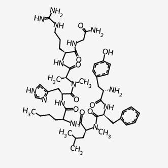 CCCC[C@H](NC(=O)[C@H](CC(C)C)N(C)C(=O)[C@H](Cc1ccccc1)NC(=O)[C@@H](N)Cc1ccc(O)cc1)C(=O)N[C@@H](Cc1c[nH]cn1)C(=O)N(C)[C@@H](C)C(=O)N[C@@H](CCCNC(=N)N)C(=O)NCC(N)=O